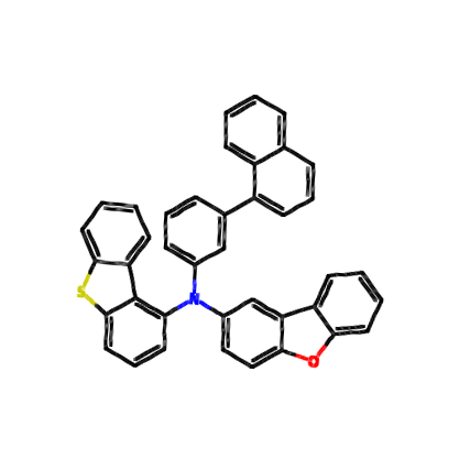 c1cc(-c2cccc3ccccc23)cc(N(c2ccc3oc4ccccc4c3c2)c2cccc3sc4ccccc4c23)c1